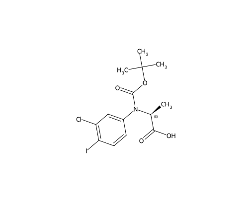 C[C@@H](C(=O)O)N(C(=O)OC(C)(C)C)c1ccc(I)c(Cl)c1